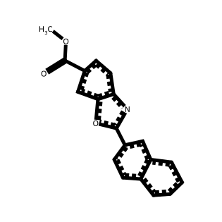 COC(=O)c1ccc2nc(-c3ccc4ccccc4c3)oc2c1